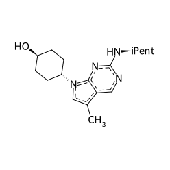 CCC[C@H](C)Nc1ncc2c(C)cn([C@H]3CC[C@H](O)CC3)c2n1